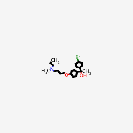 C=CCN(C)C/C=C/COc1ccc(C(C)(O)c2ccc(Br)cc2)cc1